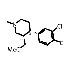 COC[C@H]1CN(C)CC[C@@H]1c1ccc(Cl)c(Cl)c1